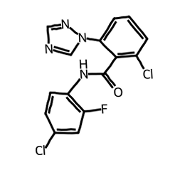 O=C(Nc1ccc(Cl)cc1F)c1c(Cl)cccc1-n1cncn1